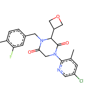 Cc1ccc(CN2C(=O)CN(c3ncc(Cl)cc3C)C(=O)C2C2COC2)cc1F